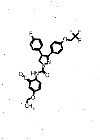 CCOC1=CC(=C=O)C(NC(=O)N2CC(c3ccc(F)cc3)C(c3ccc(OCC(F)(F)F)cc3)=N2)C=C1